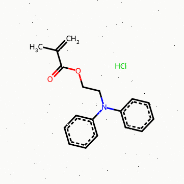 C=C(C)C(=O)OCCN(c1ccccc1)c1ccccc1.Cl